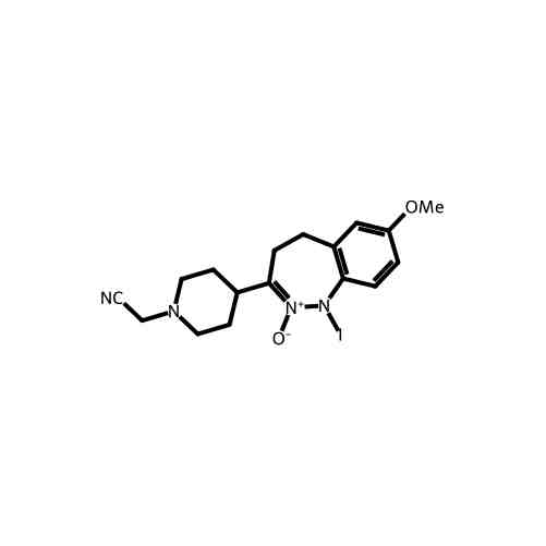 COc1ccc2c(c1)CCC(C1CCN(CC#N)CC1)=[N+]([O-])N2I